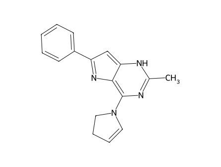 Cc1nc(N2C=CCC2)c2nc(-c3ccccc3)cc-2[nH]1